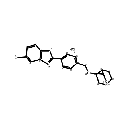 Cl.Clc1ccc2sc(-c3ccc(COC4CN5CCC4CC5)cc3)nc2c1